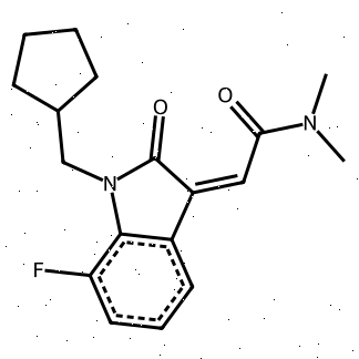 CN(C)C(=O)C=C1C(=O)N(CC2CCCC2)c2c(F)cccc21